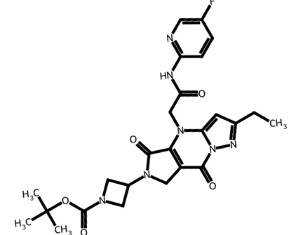 CCc1cc2n(CC(=O)Nc3ccc(F)cn3)c3c(c(=O)n2n1)CN(C1CN(C(=O)OC(C)(C)C)C1)C3=O